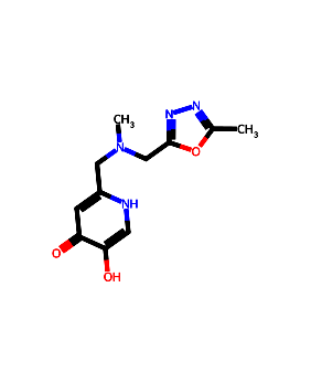 Cc1nnc(CN(C)Cc2cc(=O)c(O)c[nH]2)o1